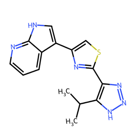 CC(C)c1[nH]nnc1-c1nc(-c2c[nH]c3ncccc23)cs1